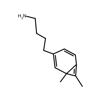 CC1=C2C=CC(CCCCN)=CC12C